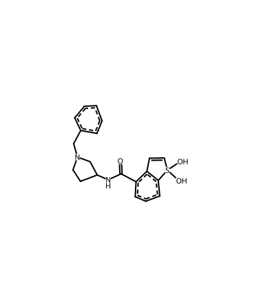 O=C(NC1CCN(Cc2ccccc2)C1)c1cccc2c1C=CS2(O)O